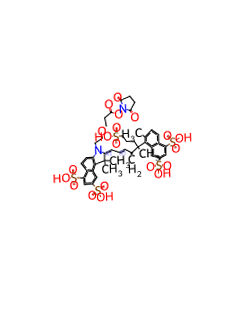 C=C(/C=C/C=C1/N(CCOCCC(=O)ON2C(=O)CCC2=O)c2ccc3c(S(=O)(=O)O)cc(S(=O)(=O)O)cc3c2C1(C)C)C(C)(CCCS(=O)(=O)O)c1c(C)ccc2c(S(=O)(=O)O)cc(S(=O)(=O)O)cc12